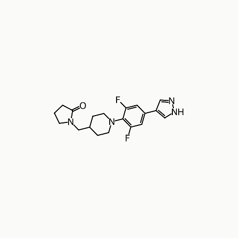 O=C1CCCN1CC1CCN(c2c(F)cc(-c3cn[nH]c3)cc2F)CC1